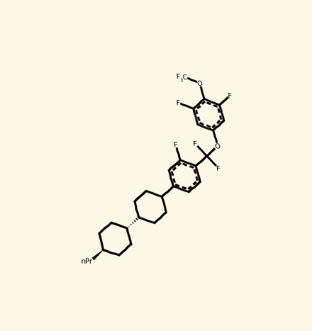 CCC[C@H]1CC[C@H](C2CCC(c3ccc(C(F)(F)Oc4cc(F)c(OC(F)(F)F)c(F)c4)c(F)c3)CC2)CC1